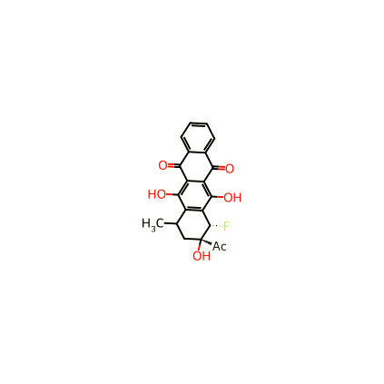 CC(=O)[C@@]1(O)CC(C)c2c(O)c3c(c(O)c2[C@@H]1F)C(=O)c1ccccc1C3=O